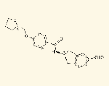 O=Cc1ccc2c(c1)C[C@H](NC(=O)c1ccc(OC[C@@H]3CCCO3)cn1)C2